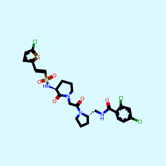 O=C(NC[C@@H]1CCCN1C(=O)CN1CCC[C@H](NS(=O)(=O)/C=C/c2ccc(Cl)s2)C1=O)c1ccc(Cl)cc1Cl